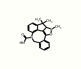 CN1OC2=C3c4c(cccc4C(C)(C)C31)N(C(=O)C(C)(C)C)Cc1ccccc12